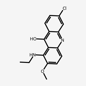 CCNc1c(OC)ccc2nc3cc(Cl)ccc3c(O)c12